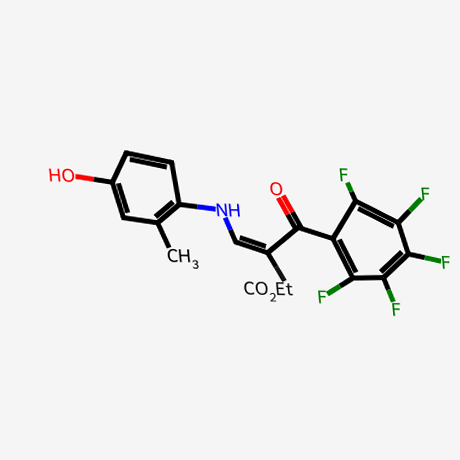 CCOC(=O)C(=CNc1ccc(O)cc1C)C(=O)c1c(F)c(F)c(F)c(F)c1F